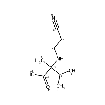 CC(C)C(C)(NCCC#N)C(=O)O